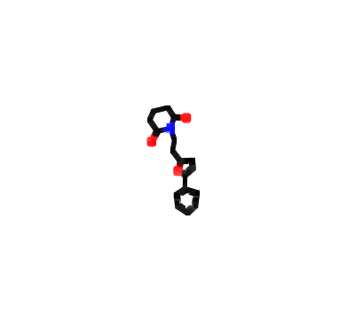 O=C1CCCC(=O)N1CCc1ccc(-c2ccccc2)o1